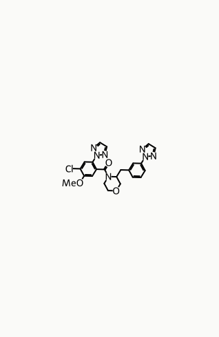 COc1cc(C(=O)N2CCOCC2Cc2cccc(-n3nccn3)c2)c(-n2nccn2)cc1Cl